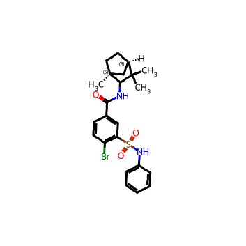 CC1(C)C(NC(=O)c2ccc(Br)c(S(=O)(=O)Nc3ccccc3)c2)[C@@]2(C)CC[C@@H]1C2